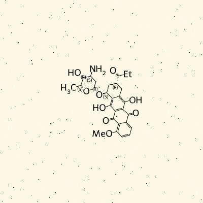 CCC(=O)[C@@H]1Cc2c(O)c3c(c(O)c2[C@@H](O[C@H]2C[C@H](N)[C@@H](O)[C@H](C)O2)C1)C(=O)c1c(OC)cccc1C3=O